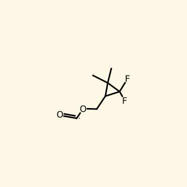 CC1(C)C(CO[C]=O)C1(F)F